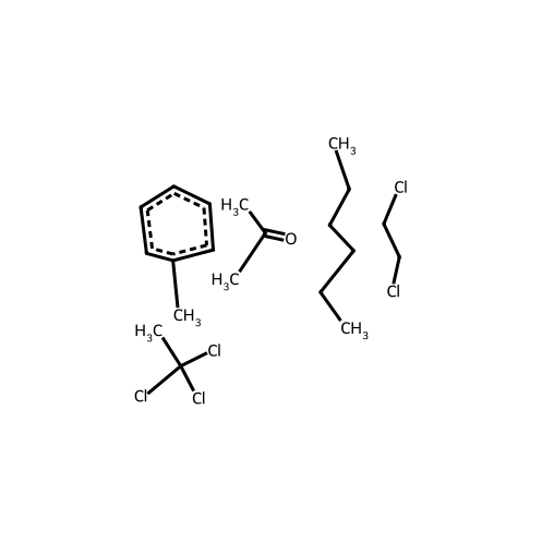 CC(C)=O.CC(Cl)(Cl)Cl.CCCCCC.Cc1ccccc1.ClCCCl